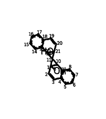 OC12C=Cc3ccccc3C1C21C2c3ccccc3C=CC21O